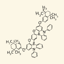 CC1(C)CCC(C)(C)c2cc(Oc3cc4c5c(c3)N(c3ccccc3)c3ccccc3B5c3cc5c(cc3O4)Oc3cc(Oc4ccc6c(c4)C(C)(C)CCC6(C)C)cc4c3B5c3ccccc3N4c3ccccc3)ccc21